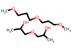 CC(O)COCC(C)O.COCCCOCCCOC